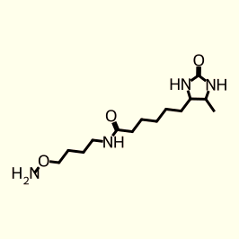 CC1NC(=O)NC1CCCCCC(=O)NCCCCON